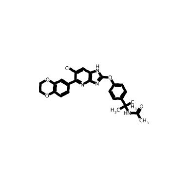 CC(=O)NC(C)(C)c1ccc(Oc2nc3nc(-c4ccc5c(c4)OCCO5)c(Cl)cc3[nH]2)cc1